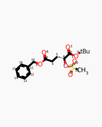 CC(C)(C)OC(=O)[C@@H](CCC(=O)OCc1ccccc1)OS(C)(=O)=O